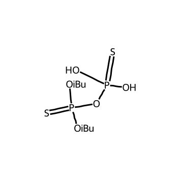 CC(C)COP(=S)(OCC(C)C)OP(O)(O)=S